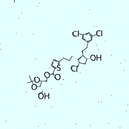 CC1(C)O[C@@H](CO)[C@H](COC(=O)c2ccc(CCC[C@@H]3[C@@H](CCc4cc(Cl)cc(Cl)c4)[C@H](O)C[C@H]3Cl)s2)O1